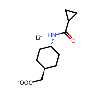 O=C([O-])C[C@H]1CC[C@H](NC(=O)C2CC2)CC1.[Li+]